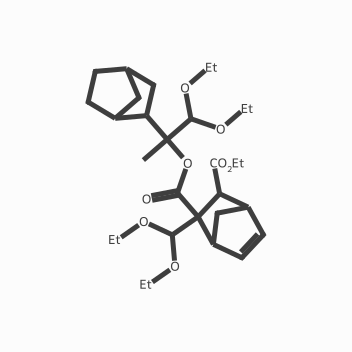 CCOC(=O)C1C2C=CC(C2)C1(C(=O)OC(C)(C(OCC)OCC)C1CC2CCC1C2)C(OCC)OCC